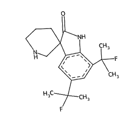 CC(C)(F)c1cc(C(C)(C)F)c2c(c1)C1(CCCNC1)C(=O)N2